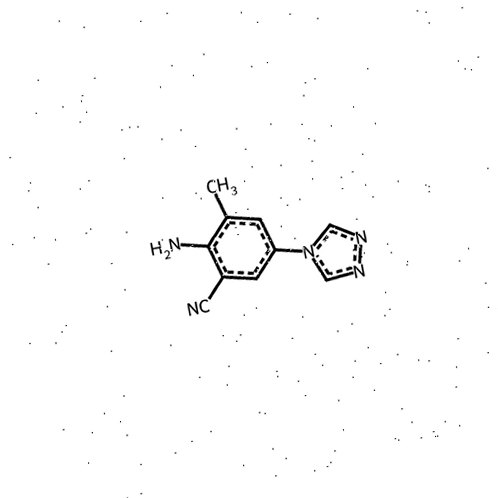 Cc1cc(-n2cnnc2)cc(C#N)c1N